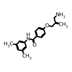 C=C(CN)COc1ccc(C(=O)Nc2cc(C)cc(C)c2)cc1